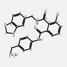 CCOC(=O)Cc1ccc(NC(=O)c2cccc(Cl)c2C(=O)NCc2ccc3c(c2)OCO3)cc1